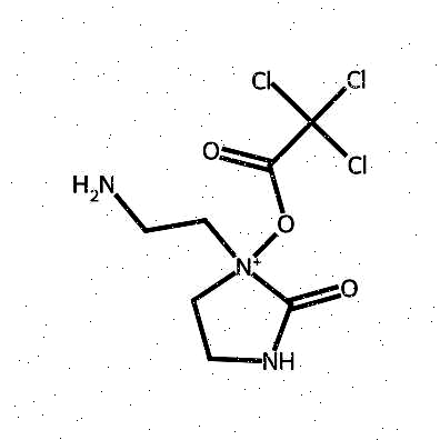 NCC[N+]1(OC(=O)C(Cl)(Cl)Cl)CCNC1=O